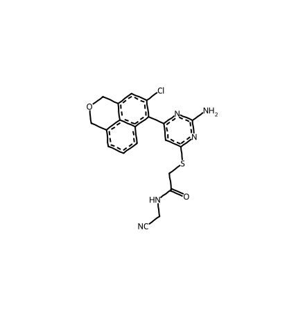 N#CCNC(=O)CSc1cc(-c2c(Cl)cc3c4c(cccc24)COC3)nc(N)n1